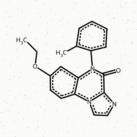 CCOc1ccc2c(c1)n(-c1ccccc1C)c(=O)c1nccn12